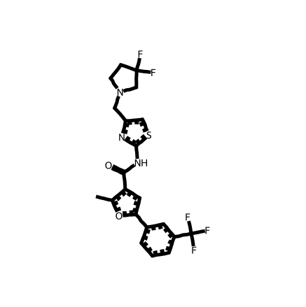 Cc1oc(-c2cccc(C(F)(F)F)c2)cc1C(=O)Nc1nc(CN2CCC(F)(F)C2)cs1